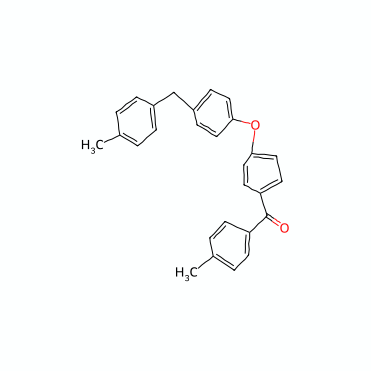 Cc1ccc(Cc2ccc(Oc3ccc(C(=O)c4ccc(C)cc4)cc3)cc2)cc1